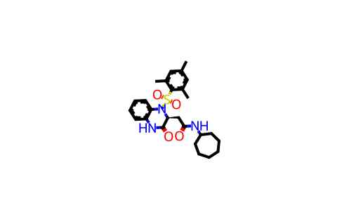 Cc1cc(C)c(S(=O)(=O)N2c3ccccc3NC(=O)[C@@H]2CC(=O)NC2CCCCCC2)c(C)c1